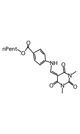 CCCCCOC(=O)c1ccc(NC=C2C(=O)N(C)C(=O)N(C)C2=O)cc1